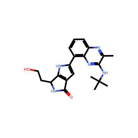 Cc1nc2cccc(-c3cc4c([nH]3)C(CCO)NC4=O)c2nc1NC(C)(C)C